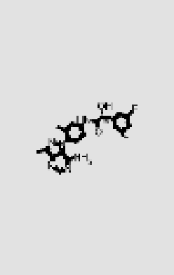 Cc1cc(NC(=O)[C@H](O)c2cc(F)cc(F)c2)ccc1-n1nc(C)c2ncnc(N)c21